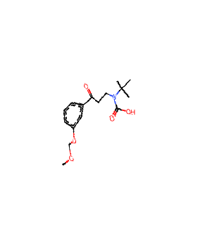 COCOc1cccc(C(=O)CCN(C(=O)O)C(C)(C)C)c1